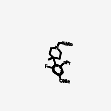 CCCc1cc(OC)cc(F)c1C1(C)CCN(CNC)CC1